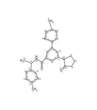 Cc1ccc(-c2cc(C(=O)NC(C)c3cnc(C)nc3)cc(N3CCCC3=O)c2)nc1